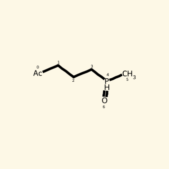 CC(=O)CCC[PH](C)=O